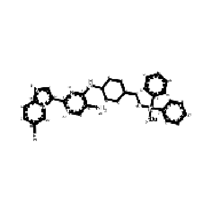 CC(C)(C)[Si](OCC1CCC(Nc2nc(-c3cnc4ccc(F)cn34)ncc2N)CC1)(c1ccccc1)c1ccccc1